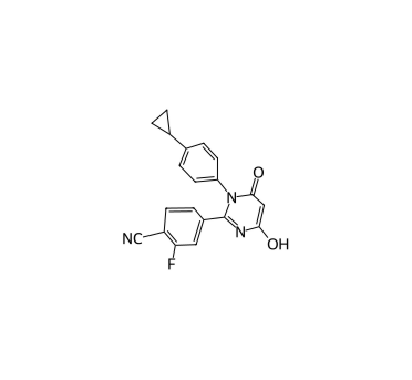 N#Cc1ccc(-c2nc(O)cc(=O)n2-c2ccc(C3CC3)cc2)cc1F